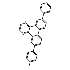 Cc1ccc(-c2ccc3c4ccc(-c5ccccc5)cc4c4nccnc4c3c2)cc1